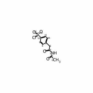 CC(=O)NC(=O)Cc1ccc(S(=O)(=O)Cl)cc1